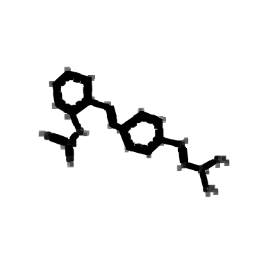 CN(C)N=Nc1ccc(C=Cc2ccccc2O[SH](=O)=O)cc1